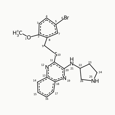 COc1ccc(Br)cc1CSc1nc2ccccc2nc1NC1CCNC1